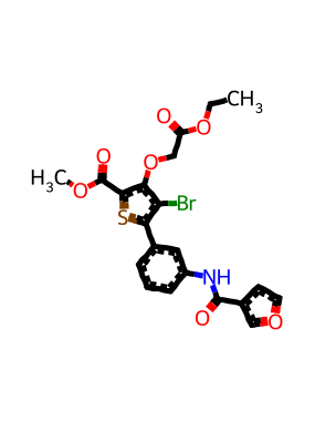 CCOC(=O)COc1c(C(=O)OC)sc(-c2cccc(NC(=O)c3ccoc3)c2)c1Br